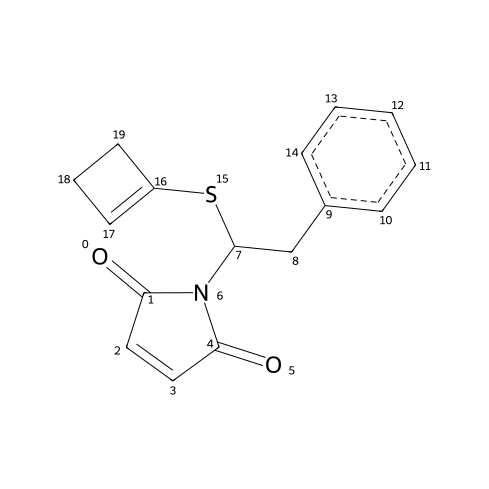 O=C1C=CC(=O)N1C(Cc1ccccc1)SC1=CCC1